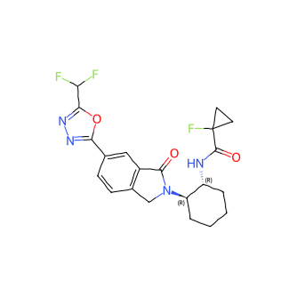 O=C1c2cc(-c3nnc(C(F)F)o3)ccc2CN1[C@@H]1CCCC[C@H]1NC(=O)C1(F)CC1